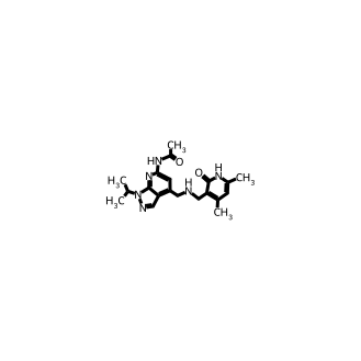 CC(=O)Nc1cc(CNCc2c(C)cc(C)[nH]c2=O)c2cnn(C(C)C)c2n1